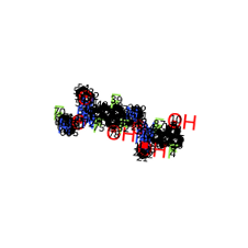 C#Cc1c(F)ccc2cc(O)cc(-c3ccc4c(N5CC6CC(C5)C6O)nc(OCC56CCCN5C(c5cc(F)c(C#C)c7c(-c8ccc9c(N%10CCC%11CCC(C%10)O%11)nc(OCC%10%11CCCN%10CC(F)C%11)nc9c8F)cc(O)cc57)C(F)C6)nc4c3F)c12